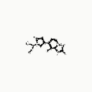 CCOC(C)n1cc(-c2ccn3nc(I)nc3c2Cl)cn1